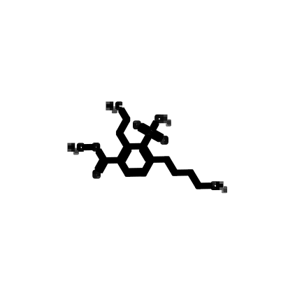 CCCCCc1ccc(C(=O)OC)c(CCC)c1S(C)(=O)=O